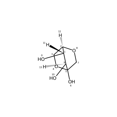 O[C@@H]1[C@H]2COC(O)(CO2)[C@H]1O